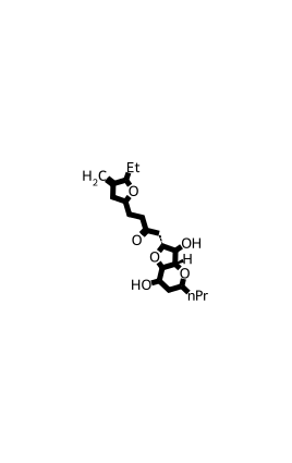 C=C1CC(CCC(=O)C[C@H]2OC3C(O)CC(CCC)O[C@H]3C2O)OC1CC